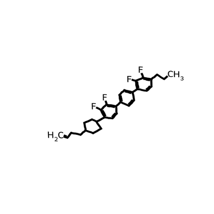 C=CCCC1CCC(c2ccc(-c3ccc(-c4ccc(CCC)c(F)c4F)cc3)c(F)c2F)CC1